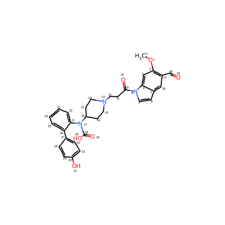 COc1cc2c(ccn2C(=O)CCN2CCC(N(C(=O)O)c3ccccc3-c3ccc(O)cc3)CC2)cc1C=O